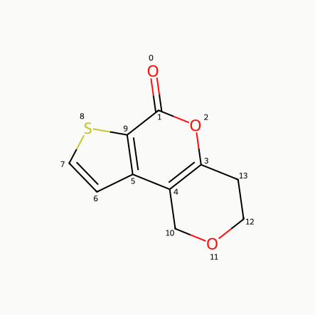 O=c1oc2c(c3ccsc13)COCC2